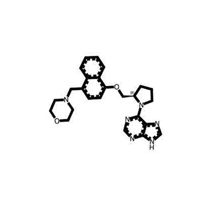 c1ccc2c(OC[C@H]3CCCN3c3ncnc4[nH]cnc34)ccc(CN3CCOCC3)c2c1